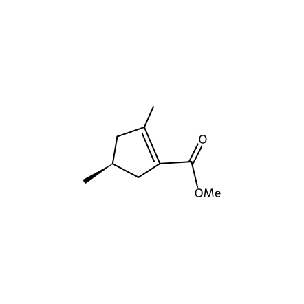 COC(=O)C1=C(C)C[C@H](C)C1